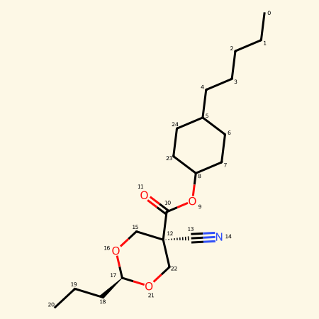 CCCCCC1CCC(OC(=O)[C@]2(C#N)CO[C@H](CCC)OC2)CC1